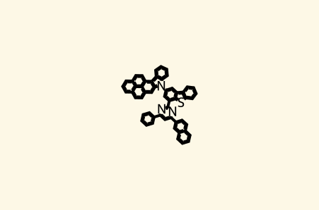 c1ccc(-c2cc(-c3ccc4ccccc4c3)nc(-c3cc(-n4c5ccccc5c5c6ccc7cccc8ccc(cc54)c6c87)cc4c3sc3ccccc34)n2)cc1